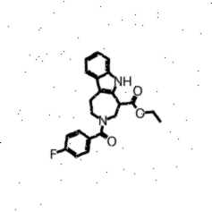 CCOC(=O)C1CN(C(=O)c2ccc(F)cc2)CCc2c1[nH]c1ccccc21